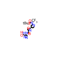 Cn1cc(NC(=O)c2coc(-c3ccnc(N(CC(F)(F)F)C(=O)OC(C)(C)C)c3)n2)c(CO)n1